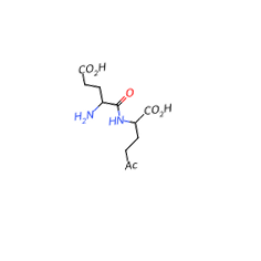 CC(=O)CCC(NC(=O)C(N)CCC(=O)O)C(=O)O